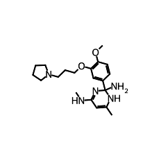 CNC1=NC(N)(c2ccc(OC)c(OCCCN3CCCC3)c2)NC(C)=C1